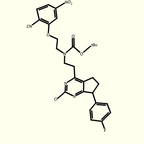 [C-]#[N+]c1ccc([N+](=O)[O-])cc1OCCN(CCc1nc(Cl)nc2c1CCC2c1ccc(F)cc1)C(=O)OC(C)(C)C